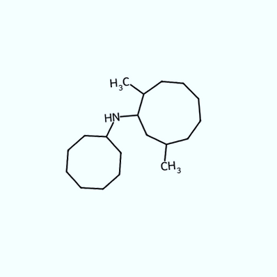 CC1CCCCCC(C)C(NC2CCCCCCC2)C1